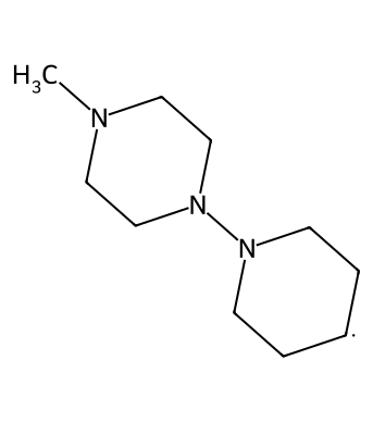 CN1CCN(N2CC[CH]CC2)CC1